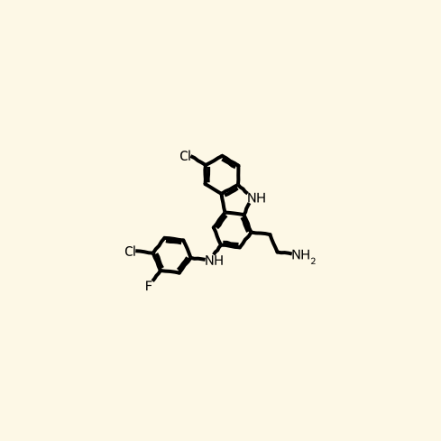 NCCc1cc(Nc2ccc(Cl)c(F)c2)cc2c1[nH]c1ccc(Cl)cc12